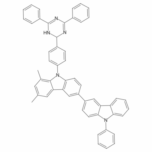 Cc1cc(C)c2c(c1)c1cc(-c3ccc4c(c3)c3ccccc3n4-c3ccccc3)ccc1n2-c1ccc(C2N=C(c3ccccc3)N=C(c3ccccc3)N2)cc1